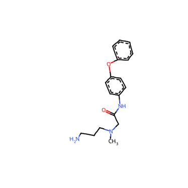 CN(CCCN)CC(=O)Nc1ccc(Oc2ccccc2)cc1